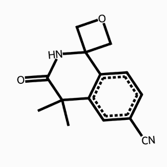 CC1(C)C(=O)NC2(COC2)c2ccc(C#N)cc21